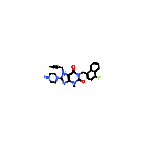 CC#CCn1c(N2CCNCC2)nc2c1c(=O)n(Cc1ccc(F)c3ccccc13)c(=O)n2C